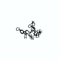 CC(C)(C)OC(=O)N1CCN(c2ccc(Cl)c(C(F)(F)F)n2)C(CN2CCc3c([nH]c4ccc(Cl)cc34)C2CN=[N+]=[N-])C1